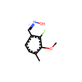 COc1c(C)ccc(/C=N\O)c1F